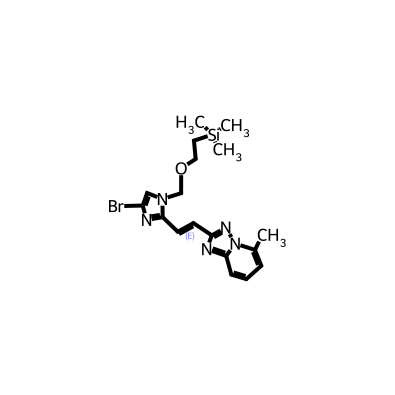 Cc1cccc2nc(/C=C/c3nc(Br)cn3COCC[Si](C)(C)C)nn12